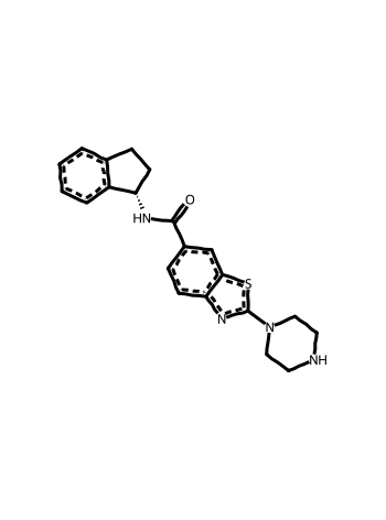 O=C(N[C@H]1CCc2ccccc21)c1ccc2nc(N3CCNCC3)sc2c1